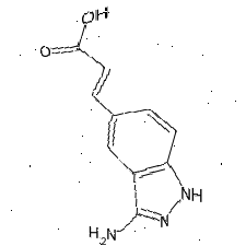 Nc1n[nH]c2ccc(/C=C/C(=O)O)cc12